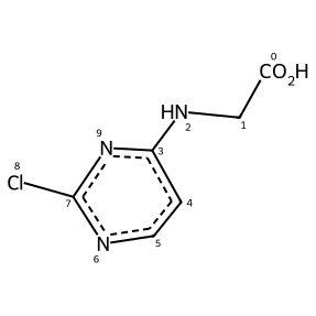 O=C(O)CNc1ccnc(Cl)n1